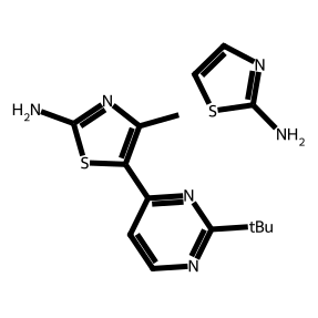 Cc1nc(N)sc1-c1ccnc(C(C)(C)C)n1.Nc1nccs1